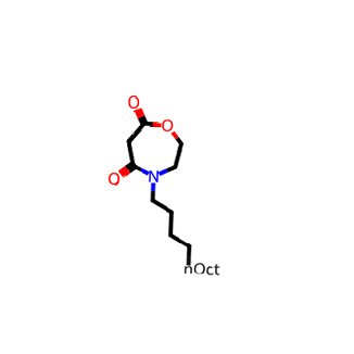 CCCCCCCCCCCCN1CCOC(=O)CC1=O